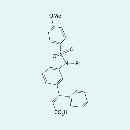 COc1ccc(S(=O)(=O)N(c2cccc(C(=CC(=O)O)c3ccccc3)c2)C(C)C)cc1